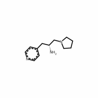 N[C@H](Cc1ccncc1)CN1CCCC1